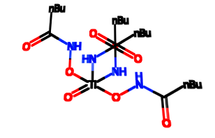 CCCCC(=O)N[O][Ti](=[O])([NH]C(=O)CCCC)([NH]C(=O)CCCC)[O]NC(=O)CCCC